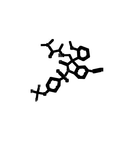 COc1ccccc1C1(CNC(C)C(=O)N(C)C)C(=O)N(S(=O)(=O)c2ccc(OC(F)(F)F)cc2)c2ccc(C#N)cc21